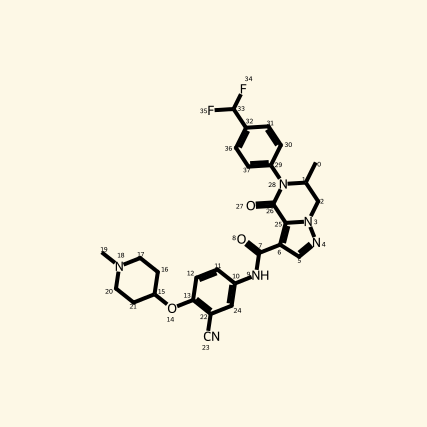 CC1Cn2ncc(C(=O)Nc3ccc(OC4CCN(C)CC4)c(C#N)c3)c2C(=O)N1c1ccc(C(F)F)cc1